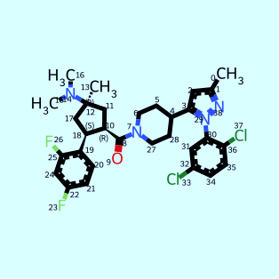 Cc1cc(C2CCN(C(=O)[C@@H]3C[C@](C)(N(C)C)C[C@@H]3c3ccc(F)cc3F)CC2)n(-c2cc(Cl)ccc2Cl)n1